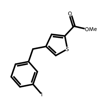 COC(=O)c1cc(Cc2cccc(I)c2)cs1